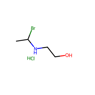 CC(Br)NCCO.Cl